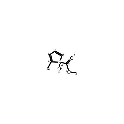 COC(=O)S1([O])C=CC=C1C